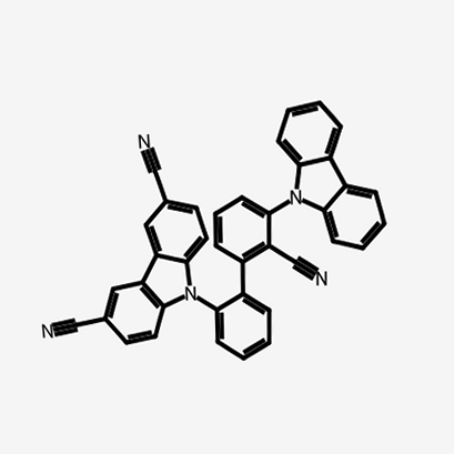 N#Cc1ccc2c(c1)c1cc(C#N)ccc1n2-c1ccccc1-c1cccc(-n2c3ccccc3c3ccccc32)c1C#N